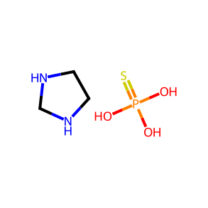 C1CNCN1.OP(O)(O)=S